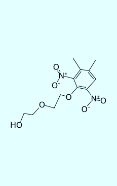 Cc1cc([N+](=O)[O-])c(OCCOCCO)c([N+](=O)[O-])c1C